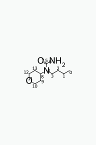 CCCCN(C(N)=O)C1CCOCC1